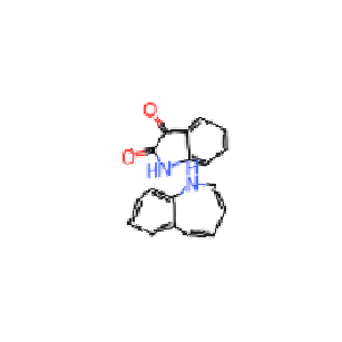 C1=CNc2ccccc2C=C1.O=C1Nc2ccccc2C1=O